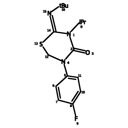 CC(C)N1C(=O)N(c2ccc(F)cc2)CSC1=NC(C)(C)C